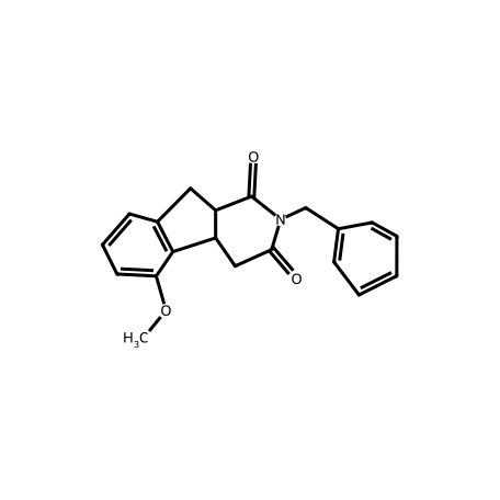 COc1cccc2c1C1CC(=O)N(Cc3ccccc3)C(=O)C1C2